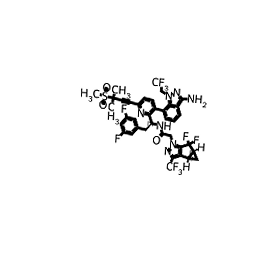 CC(C)(C#Cc1ccc(-c2cccc3c(N)nn(CC(F)(F)F)c23)c([C@H](Cc2cc(F)cc(F)c2)NC(=O)Cn2nc(C(F)(F)F)c3c2C(F)(F)[C@@H]2C[C@H]32)n1)S(C)(=O)=O